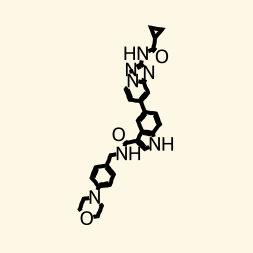 O=C(NCc1ccc(N2CCOCC2)cc1)c1c[nH]c2ccc(-c3ccn4nc(NC(=O)C5CC5)nc4c3)cc12